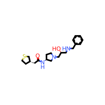 O=C(C[C@@H]1CCSC1)N[C@@H]1CCN(C[C@H](O)CNCc2ccccc2)C1